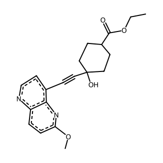 CCOC(=O)C1CCC(O)(C#Cc2ccnc3ccc(OC)nc23)CC1